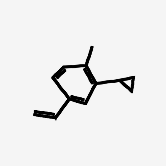 C=[C]c1ccc(C)c(C2CC2)c1